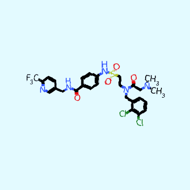 CN(C)CC(=O)N(CCS(=O)(=O)Nc1ccc(C(=O)NCc2ccc(C(F)(F)F)nc2)cc1)Cc1cccc(Cl)c1Cl